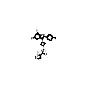 O=C(NC[C@H]1C[C@H](c2c(-c3ccc(F)cc3)[nH]c3c(F)cc(F)cc32)C1)c1ccn[nH]1